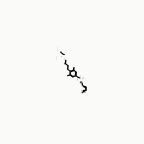 CCCc1ccc(-c2nc(-c3cc(C)c(CC[C@H](O)CNC(=O)CO)c(C)c3)no2)s1